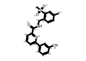 CS(=O)(=O)c1cc(F)ccc1CNC(=O)c1cccc(-c2cccc(C#N)c2)n1